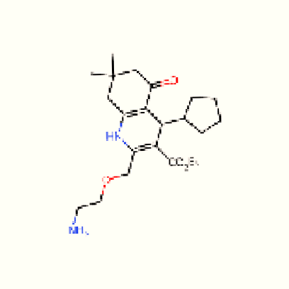 CCOC(=O)C1=C(COCCN)NC2=C(C(=O)CC(C)(C)C2)C1C1CCCC1